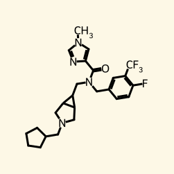 Cn1cnc(C(=O)N(Cc2ccc(F)c(C(F)(F)F)c2)CC2C3CN(CC4CCCC4)CC32)c1